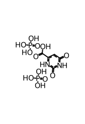 O=C(O)c1cc(=O)[nH]c(=O)[nH]1.O=P(O)(O)O.O=P(O)(O)O